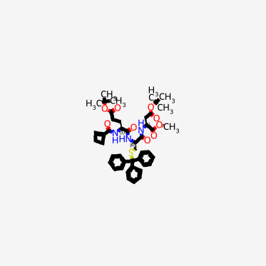 COC(=O)[C@H](CC(=O)OC(C)(C)C)NC(=O)[C@H](CSC(c1ccccc1)(c1ccccc1)c1ccccc1)NC(=O)[C@H](CCC(=O)OC(C)(C)C)NC(=O)C1=CCC1